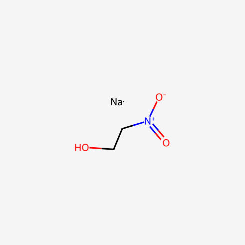 O=[N+]([O-])CCO.[Na]